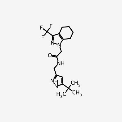 CC(C)(C)c1cc(CNC(=O)Cn2nc(C(F)(F)F)c3c2CCCC3)n[nH]1